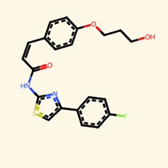 O=C(/C=C\c1ccc(OCCCO)cc1)Nc1nc(-c2ccc(F)cc2)cs1